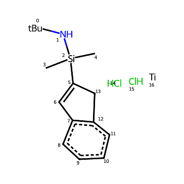 CC(C)(C)N[Si](C)(C)C1=Cc2ccccc2C1.Cl.Cl.[Ti]